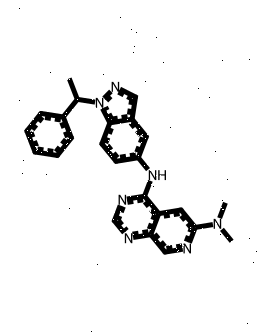 CC(c1ccccc1)n1ncc2cc(Nc3ncnc4cnc(N(C)C)cc34)ccc21